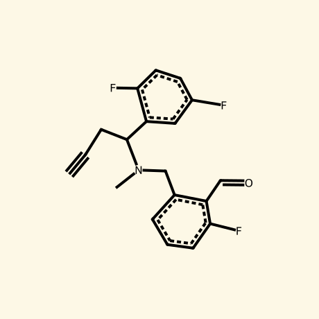 C#CCC(c1cc(F)ccc1F)N(C)Cc1cccc(F)c1C=O